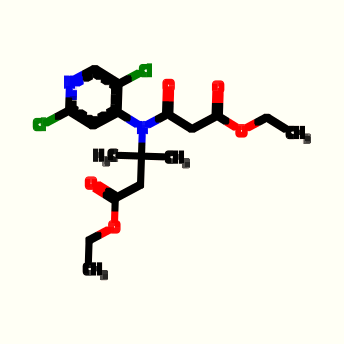 CCOC(=O)CC(=O)N(c1cc(Cl)ncc1Cl)C(C)(C)CC(=O)OCC